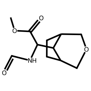 COC(=O)C(NC=O)C1C2CCC1COC2